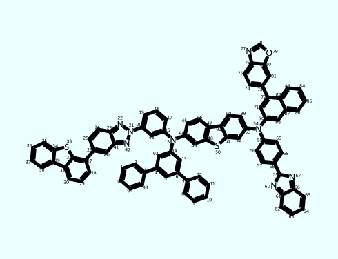 c1ccc(-c2cc(-c3ccccc3)cc(N(c3cccc(-n4nc5ccc(-c6cccc7c6sc6ccccc67)cc5n4)c3)c3ccc4c(c3)sc3cc(N(c5ccc(C6N=c7ccccc7=N6)cc5)c5cc(-c6ccc7ncoc7c6)c6ccccc6c5)ccc34)c2)cc1